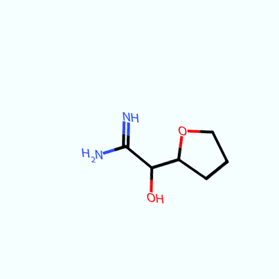 N=C(N)C(O)C1CCCO1